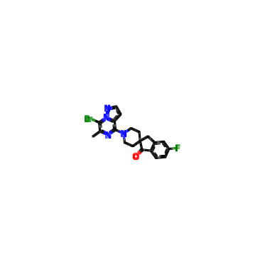 Cc1nc(N2CCC3(CC2)Cc2cc(F)ccc2C3=O)c2ccnn2c1Br